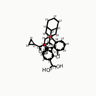 OC(O)c1ccc2nc(N3CC4CCCC(C3)C4OCc3c(-c4c(Cl)cccc4Cl)noc3C3CC3)sc2c1